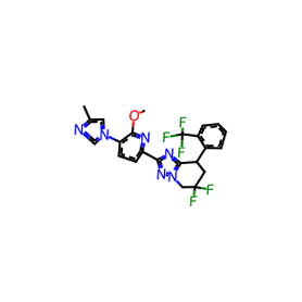 COc1nc(-c2nc3n(n2)CC(F)(F)CC3c2ccccc2C(F)(F)F)ccc1-n1cnc(C)c1